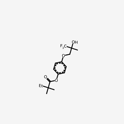 CCC(C)(C)C(=O)Oc1ccc(OCC(C)(O)C(F)(F)F)cc1